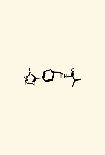 CC(C)C(=O)NCc1ccc(-c2nnn[nH]2)cc1